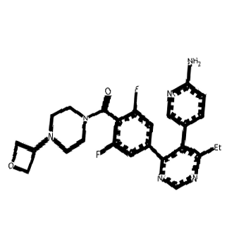 CCc1ncnc(-c2cc(F)c(C(=O)N3CCN(C4COC4)CC3)c(F)c2)c1-c1ccc(N)nc1